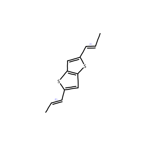 C/C=C/c1cc2sc(/C=C/C)cc2s1